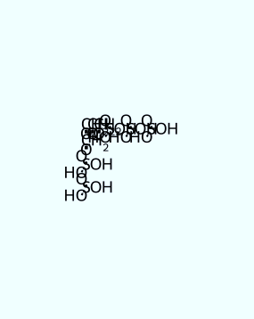 C=O.C=O.C=O.C=O.O=S(O)O.O=S(O)O.O=S(O)O.O=S(O)O.O=S(O)O